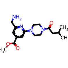 COC(=O)c1cc(CN)nc(N2CCN(C(=O)CC(C)C)CC2)c1